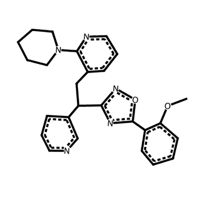 COc1ccccc1-c1nc(C(Cc2cccnc2N2CCCCC2)c2cccnc2)no1